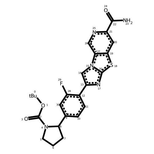 CC(C)(C)OC(=O)N1CCCC1c1ccc(-c2cn3c(n2)sc2cc(C(N)=O)ncc23)c(F)c1